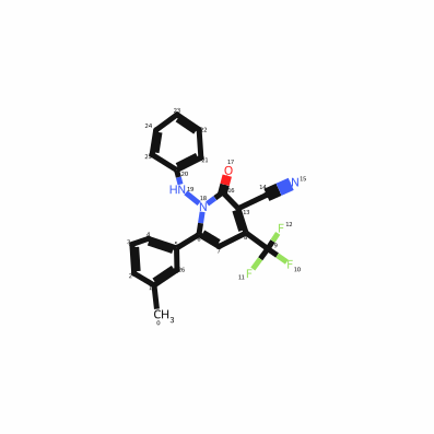 Cc1cccc(-c2cc(C(F)(F)F)c(C#N)c(=O)n2Nc2ccccc2)c1